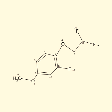 COc1ccc(OCC(F)F)c(F)c1